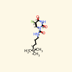 C[Si](C)(C)CCCCNC(=O)n1cc(F)c(=O)[nH]c1=O